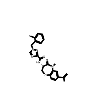 C=C(C)c1ccc2c(c1)N(C)C(=O)[C@@H](NC(=O)c1ncn(Cc3ccccc3F)n1)CO2